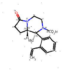 C=Cc1ccccc1[C@@]1(C(C)(C)C)[C@@H]2CCC(=O)N2CCN1C(=O)O